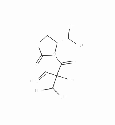 C=CC(C)(C(=O)N1C(=O)OC[C@@H]1C(C)C)C(C)O